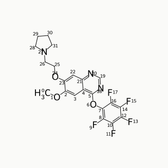 COc1cc2c(Oc3c(F)c(F)c(F)c(F)c3F)ncnc2cc1OCCN1CCCC1